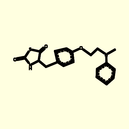 CN(CCOc1ccc(CC2NC(=O)SC2=O)cc1)c1ccccc1